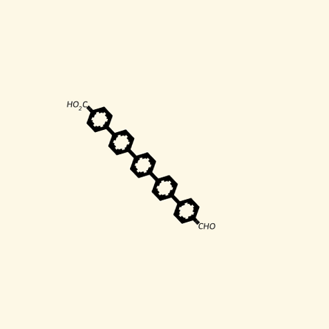 O=Cc1ccc(-c2ccc(-c3ccc(-c4ccc(-c5ccc(C(=O)O)cc5)cc4)cc3)cc2)cc1